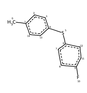 Cc1ccc(Sc2ccc(F)cc2)cc1